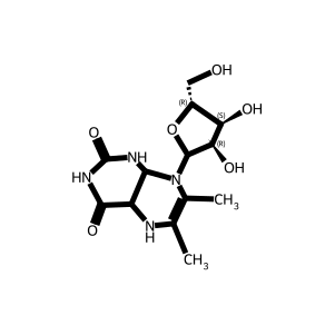 CC1=C(C)N(C2O[C@H](CO)[C@@H](O)[C@H]2O)C2NC(=O)NC(=O)C2N1